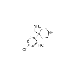 Cl.NCC1(c2ccc(Cl)cc2)CCNCC1